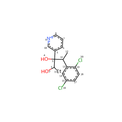 CCC(O)C(O)(c1cccnc1)C(C)c1cc(Cl)ccc1Cl